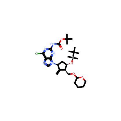 C=C1[C@H](COC2CCCCO2)[C@@H](O[Si](C)(C)C(C)(C)C)C[C@@H]1n1cnc2c(Cl)nc(NC(=O)OC(C)(C)C)nc21